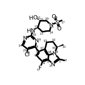 Cc1nc2c(F)cc(-c3nc(N[C@@H]4CCN(S(C)(=O)=O)C[C@H]4O)ncc3Cl)c3c2n1[C@H](C)CC3